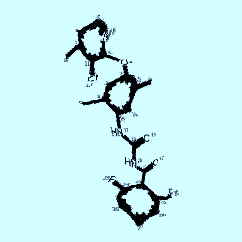 Cc1cc(Oc2nccc(C)c2Cl)c(C)cc1NC(=O)NC(=O)c1c(F)cccc1F